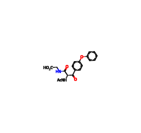 CC(=O)NC(C(=O)NCC(=O)O)C(=O)c1ccc(Oc2ccccc2)cc1